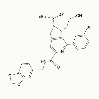 CCCC[S+]([O-])N1Cc2cc(C(=O)NCc3ccc4c(c3)OCO4)nc(-c3cccc(Br)c3)c2[C@H]1CCO